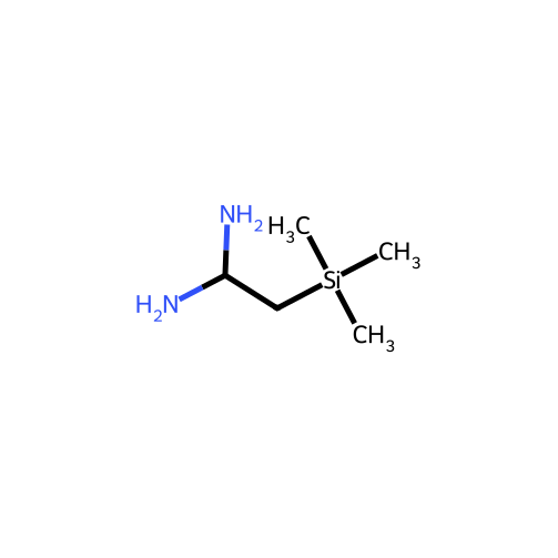 C[Si](C)(C)CC(N)N